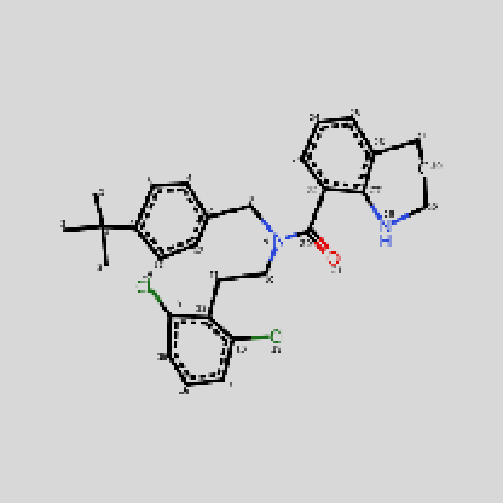 CC(C)(C)c1ccc(CN(CCc2c(Cl)cccc2Cl)C(=O)c2cccc3c2NCCC3)cc1